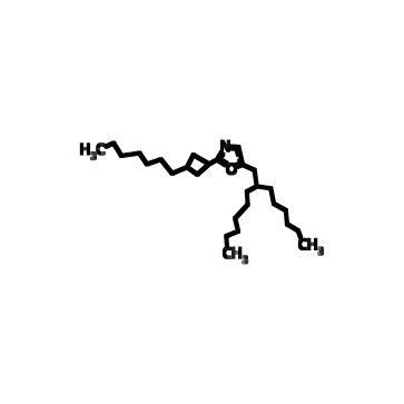 CCCCCCCC1CC(c2ncc(CC(CCCCCC)CCCCCC)o2)C1